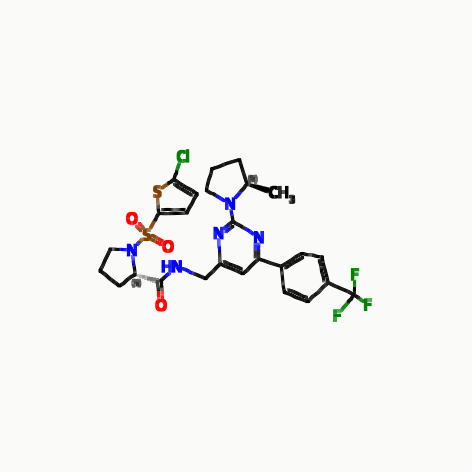 C[C@@H]1CCCN1c1nc(CNC(=O)[C@@H]2CCCN2S(=O)(=O)c2ccc(Cl)s2)cc(-c2ccc(C(F)(F)F)cc2)n1